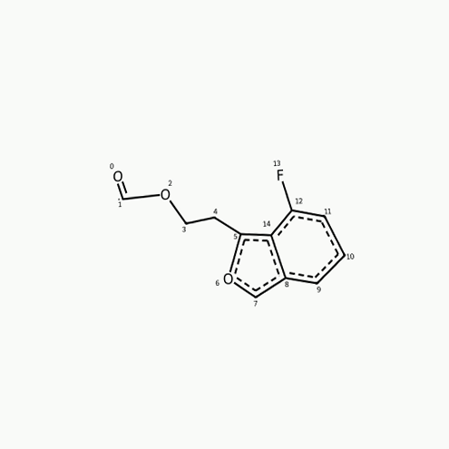 O=[C]OCCc1occ2cccc(F)c12